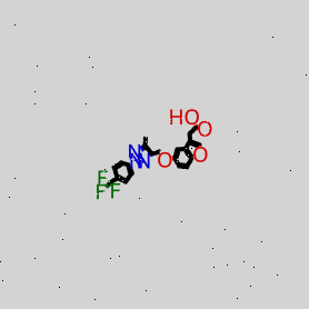 Cc1nn(-c2ccc(C(F)(F)F)cc2)nc1COc1ccc2occ(CC(=O)O)c2c1